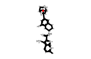 Cc1ccc2c(N)c(C(=O)N[C@H]3CCc4cc(N5CC6COC(CN6)C5)cc(F)c4C3)sc2n1